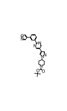 CC(C)(C)OC(=O)N1CCC(n2cc(-c3cnc(-c4cccc(-c5cnoc5)c4)nc3)cn2)CC1